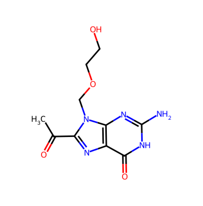 CC(=O)c1nc2c(=O)[nH]c(N)nc2n1COCCO